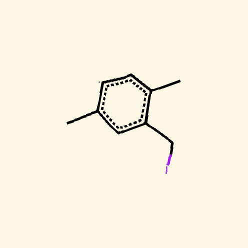 Cc1[c]cc(C)c(CI)c1